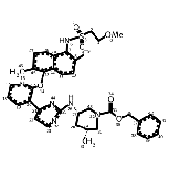 COCCS(=O)(=O)Nc1c(F)ccc2c(Oc3ncccc3-c3ccnc(N[C@H]4C[C@@H](C)CN(C(=O)OCc5ccccc5)C4)n3)c(C)ccc12